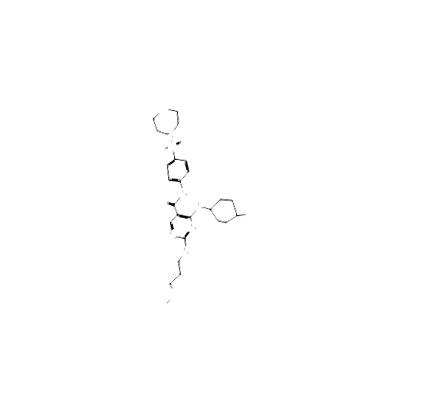 COCCCNc1ncc(C(=O)Nc2ccc(S(=O)(=O)N3CCOCC3)cc2)c(NC2CCC(O)CC2)n1